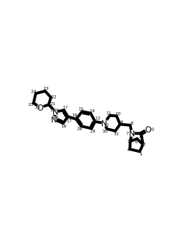 O=C1C2CCC(C2)N1CC1CCN(c2ccc(-c3cnn(C4CCCCO4)c3)cc2)CC1